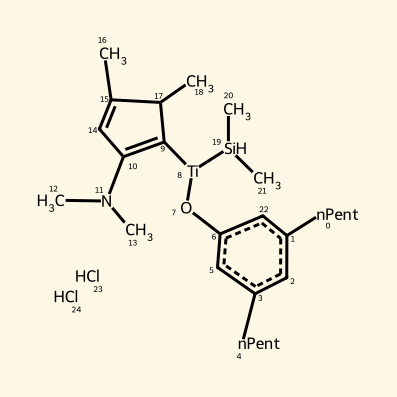 CCCCCc1cc(CCCCC)cc([O][Ti]([C]2=C(N(C)C)C=C(C)C2C)[SiH](C)C)c1.Cl.Cl